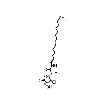 CCCCCCCCCCCCC=CNC(=O)C(O)[C@H]1OC(=O)[C@@H](O)[C@H]1O